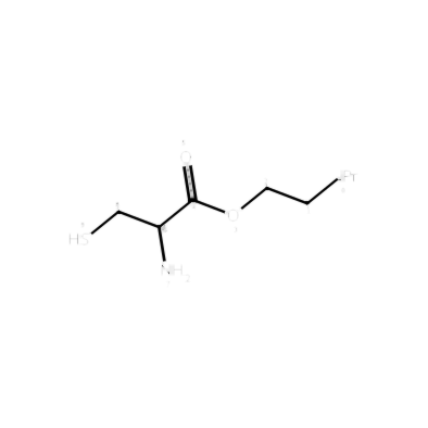 CC(C)CCOC(=O)C(N)CS